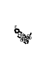 CCOP(=O)(OCC)C(CNCc1cccc(F)c1)P(=O)(OCC)OCC